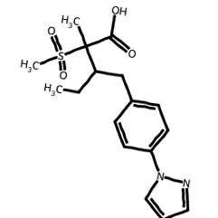 CCC(Cc1ccc(-n2cccn2)cc1)C(C)(C(=O)O)S(C)(=O)=O